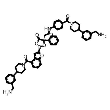 NCc1cccc(C2CCN(C(=O)c3ccc(NC(=O)C[C@@]4(c5ccccc5)OB(c5cc6c(C(=O)N7CCC(c8cccc(CN)c8)CC7)cccc6o5)OC4=O)cc3)CC2)c1